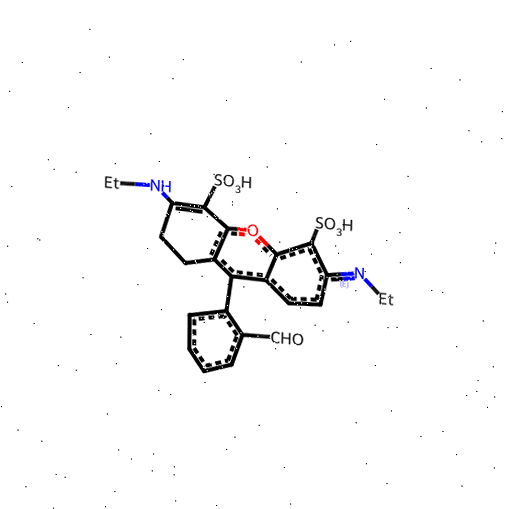 CC/N=c1\ccc2c(-c3ccccc3C=O)c3c(oc-2c1S(=O)(=O)O)C(S(=O)(=O)O)=C(NCC)CC3